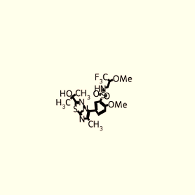 COc1ccc(-c2c(C)nc3sc(C(C)(C)O)nn23)cc1S(=O)(=O)NCC(OC)C(F)(F)F